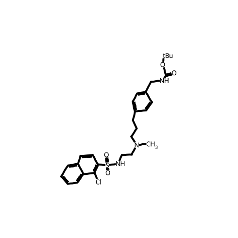 CN(CCCc1ccc(CNC(=O)OC(C)(C)C)cc1)CCNS(=O)(=O)c1ccc2ccccc2c1Cl